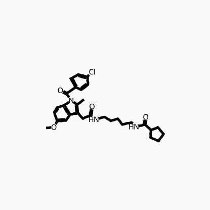 COc1ccc2c(c1)c(CC(=O)NCCCCCNC(=O)C1CCCC1)c(C)n2C(=O)c1ccc(Cl)cc1